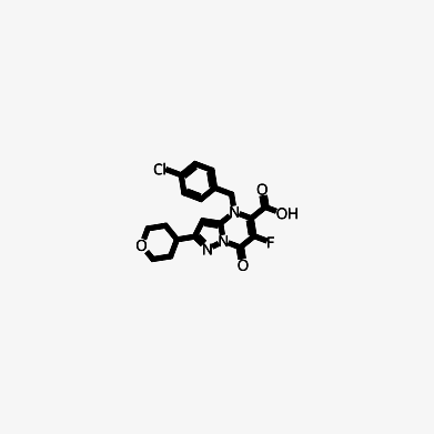 O=C(O)c1c(F)c(=O)n2nc(C3CCOCC3)cc2n1Cc1ccc(Cl)cc1